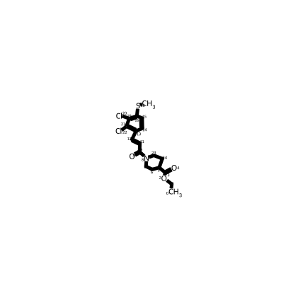 CCOC(=O)C1CCN(C(=O)C=Cc2ccc(SC)c(Cl)c2Cl)CC1